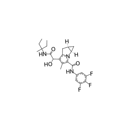 CCC(C)(CC)NC(=O)C(O)c1c(C)c(C(=O)Nc2cc(F)c(F)c(F)c2)n2c1C[C@H]1C[C@H]12